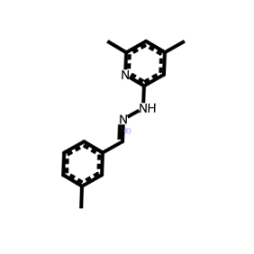 Cc1cccc(/C=N/Nc2cc(C)cc(C)n2)c1